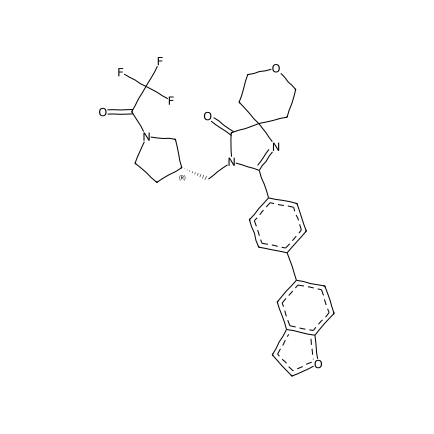 O=C(N1CC[C@@H](CN2C(=O)C3(CCOCC3)N=C2c2ccc(-c3ccc4occc4c3)cc2)C1)C(F)(F)F